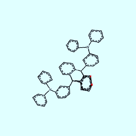 c1ccc(N(c2ccccc2)c2cccc(C34c5ccccc5C(c5cccc(N(c6ccccc6)c6ccccc6)c5)(c5ccccc53)c3ccccc34)c2)cc1